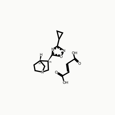 C1CC1c1noc([C@H]2CN3CC[C@H]2C3)n1.O=C(O)C=CC(=O)O